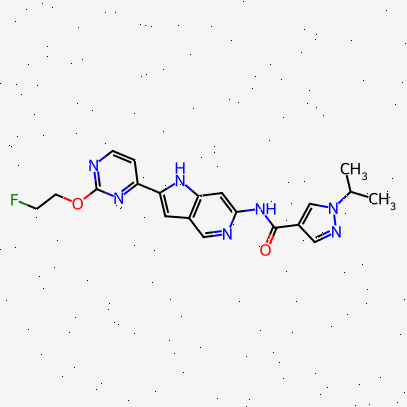 CC(C)n1cc(C(=O)Nc2cc3[nH]c(-c4ccnc(OCCF)n4)cc3cn2)cn1